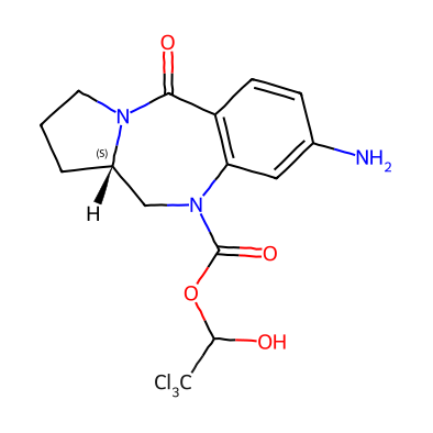 Nc1ccc2c(c1)N(C(=O)OC(O)C(Cl)(Cl)Cl)C[C@@H]1CCCN1C2=O